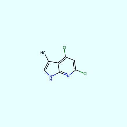 N#Cc1c[nH]c2nc(Cl)cc(Cl)c12